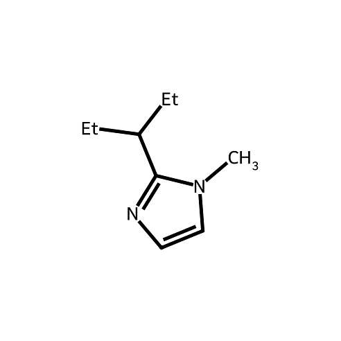 CCC(CC)c1nccn1C